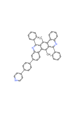 Cc1c2c(-c3ccccc3)nc3cc(-c4ccc(-c5ccncc5)cc4)ccc3c2c(C)c2c(-c3ccccc3)nc3ccccc3c12